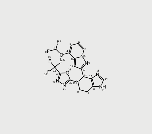 FC(F)Oc1cccn2nc(C3c4nc[nH]c4CCN3c3nnc(C(F)(F)F)o3)cc12